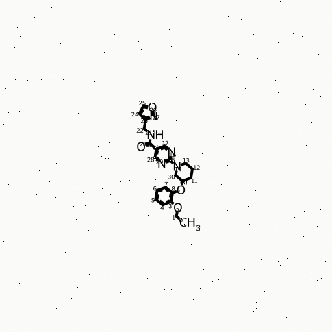 CCOc1ccccc1O[C@@H]1CCCN(c2ncc(C(=O)NCc3ccon3)cn2)C1